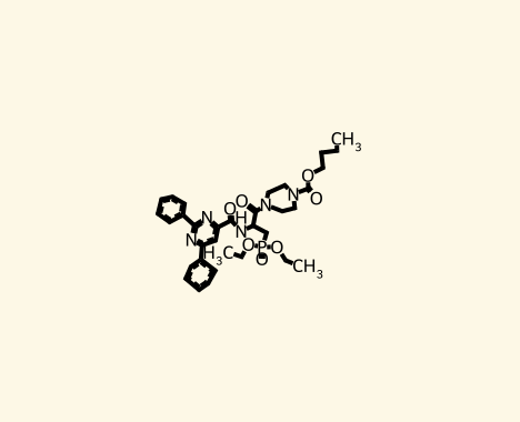 CCCCOC(=O)N1CCN(C(=O)C(CP(=O)(OCC)OCC)NC(=O)c2cc(-c3ccccc3)nc(-c3ccccc3)n2)CC1